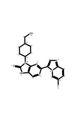 O=c1[nH]c2cnc(-c3cnc4ccc(F)cn34)nc2n1C1CCC(CO)CC1